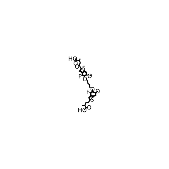 COc1cc2sc(CCC(C)C(=O)O)cc2c(F)c1OCCCCOc1c(OC)cc2sc(C(=O)CC(C)C(=O)O)cc2c1F